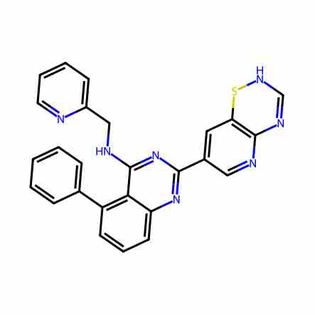 C1=Nc2ncc(-c3nc(NCc4ccccn4)c4c(-c5ccccc5)cccc4n3)cc2SN1